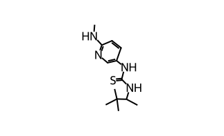 CNc1ccc(NC(=S)NC(C)C(C)(C)C)cn1